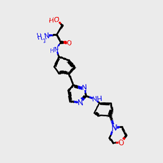 NC(CO)C(=O)Nc1ccc(-c2ccnc(Nc3ccc(N4CCOCC4)cc3)n2)cc1